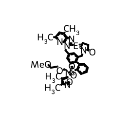 CCc1nc2c(C)cc(C)nc2n1Cc1ccc(-c2ccccc2S(=O)(=O)N(COCCOC)c2onc(C)c2C)c(CN2CCCC2=O)c1